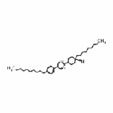 CCCCCCCCCCc1ccc(-c2cnc(C3CCC(C#N)(CCCCCCCCC)CC3)nc2)cc1